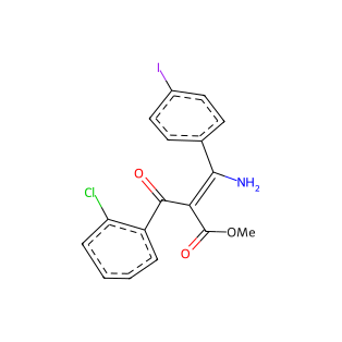 COC(=O)/C(C(=O)c1ccccc1Cl)=C(\N)c1ccc(I)cc1